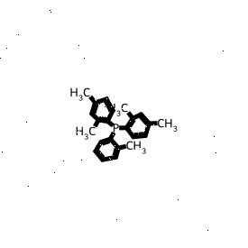 Cc1ccc(P(c2ccccc2C)c2ccc(C)cc2C)c(C)c1